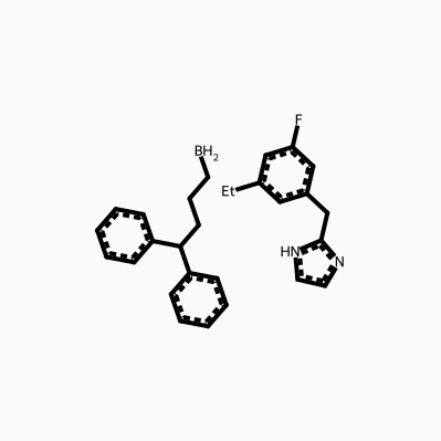 BCCCC(c1ccccc1)c1ccccc1.CCc1cc(F)cc(Cc2ncc[nH]2)c1